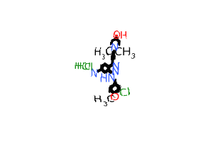 COc1ccc(CNc2nnc(C#CC(C)(C)N3CCC(O)CC3)c3ccc(C#N)cc23)cc1Cl.Cl.Cl